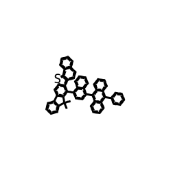 CC1(C)c2ccccc2-c2cc3sc4c5ccccc5ccc4c3c(-c3ccc(-c4c5ccccc5c(-c5ccccc5)c5ccccc45)c4ccccc34)c21